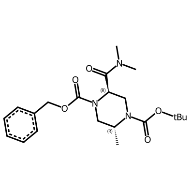 C[C@@H]1CN(C(=O)OCc2ccccc2)[C@@H](C(=O)N(C)C)CN1C(=O)OC(C)(C)C